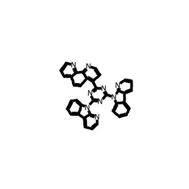 c1cnc2c(c1)ccc1c(-c3nc(-n4c5ccccc5c5cccnc54)nc(-n4c5ccccc5c5cccnc54)n3)ccnc12